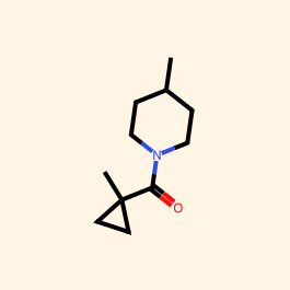 CC1CCN(C(=O)C2(C)CC2)CC1